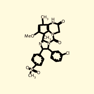 COC1=CC(C)C2=C3N(CC(=O)N2)C(=O)N2C(=NC(c4ccc(S(C)(=O)=O)cc4)C2c2cccc(Cl)c2)C13C